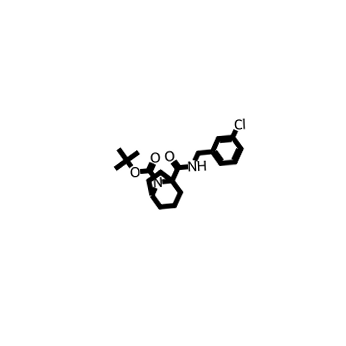 CC(C)(C)OC(=O)N1C2CCCC1(C(=O)NCc1cccc(Cl)c1)CC2